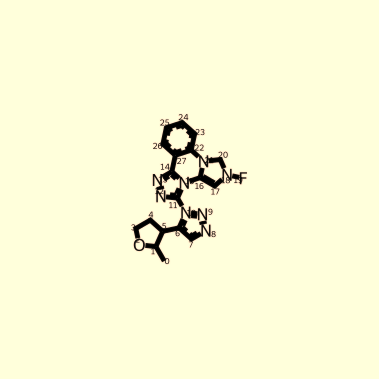 CC1OCCC1c1cnnn1-c1nnc2n1C1=CN(F)CN1c1ccccc1-2